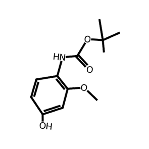 COc1cc(O)ccc1NC(=O)OC(C)(C)C